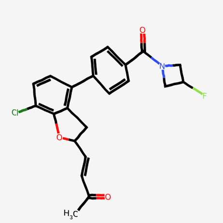 CC(=O)/C=C/C1Cc2c(-c3ccc(C(=O)N4CC(F)C4)cc3)ccc(Cl)c2O1